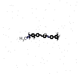 C/C=C/C(F)=C(\F)c1ccc(C2CCC(CCC3CCC(/C=C/C4CCC(c5cc(F)c(F)c(F)c5)CC4)OC3)CC2)c(F)c1